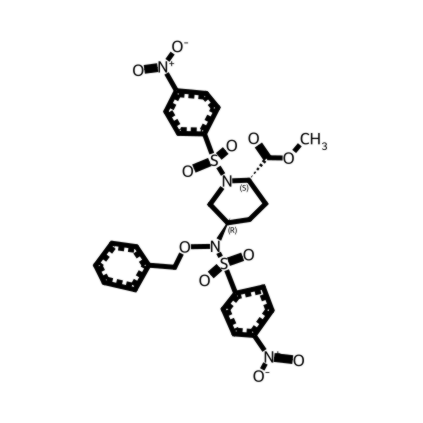 COC(=O)[C@@H]1CC[C@@H](N(OCc2ccccc2)S(=O)(=O)c2ccc([N+](=O)[O-])cc2)CN1S(=O)(=O)c1ccc([N+](=O)[O-])cc1